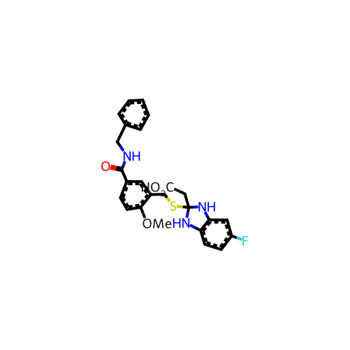 COc1ccc(C(=O)NCc2ccccc2)cc1CSC1(CC(=O)O)Nc2ccc(F)cc2N1